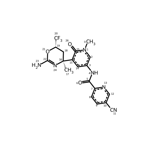 Cn1cc(NC(=O)c2ccc(C#N)cn2)cc([C@]2(C)C[C@@H](C(F)(F)F)OC(N)=N2)c1=O